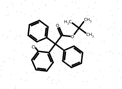 CC(C)(C)OC(=O)C(c1ccccc1)(c1ccccc1)c1ccccc1Cl